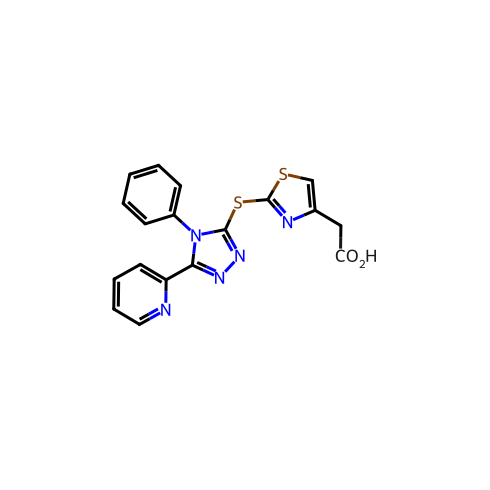 O=C(O)Cc1csc(Sc2nnc(-c3ccccn3)n2-c2ccccc2)n1